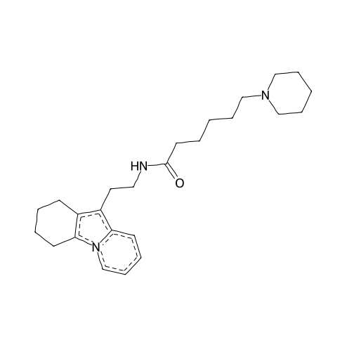 O=C(CCCCCN1CCCCC1)NCCc1c2c(n3ccccc13)CCCC2